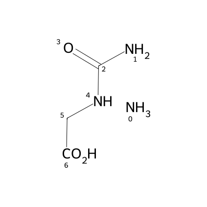 N.NC(=O)NCC(=O)O